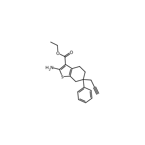 C#CCC1(c2ccccc2)CCc2c(sc(N)c2C(=O)OCC)C1